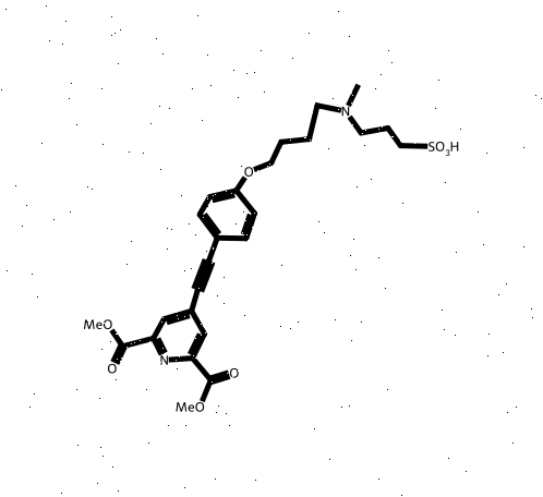 COC(=O)c1cc(C#Cc2ccc(OCCCCN(C)CCCS(=O)(=O)O)cc2)cc(C(=O)OC)n1